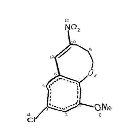 COc1cc(Cl)cc2c1OCC([N+](=O)[O-])=C2